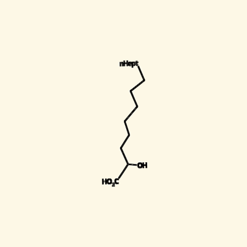 CCCCCCCCCCCCCC(O)C(=O)O